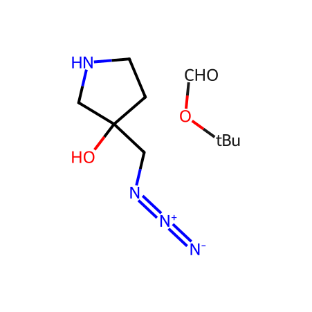 CC(C)(C)OC=O.[N-]=[N+]=NCC1(O)CCNC1